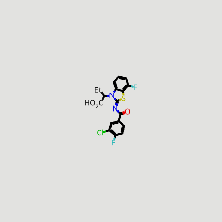 CCC(C(=O)O)n1c(=NC(=O)c2ccc(F)c(Cl)c2)sc2c(F)cccc21